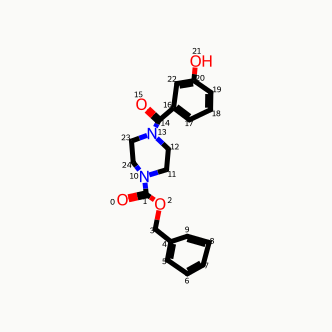 O=C(OCc1ccccc1)N1CCN(C(=O)c2cccc(O)c2)CC1